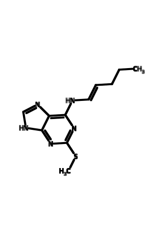 CCCC=CNc1nc(SC)nc2[nH]cnc12